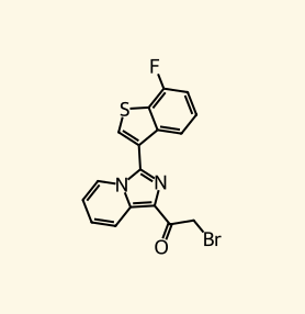 O=C(CBr)c1nc(-c2csc3c(F)cccc23)n2ccccc12